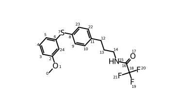 COc1cccc(Sc2ccc(CCCNC(=O)C(F)(F)F)cc2)c1